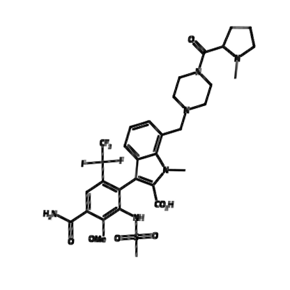 COc1c(C(N)=O)cc(C(F)(F)C(F)(F)F)c(-c2c(C(=O)O)n(C)c3c(CN4CCN(C(=O)C5CCCN5C)CC4)cccc23)c1NS(C)(=O)=O